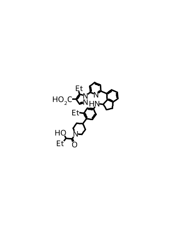 CCc1cc(NC2CCc3cccc(-c4cccc(-n5ncc(C(=O)O)c5CC)n4)c32)ccc1C1CCN(C(=O)C(O)CC)CC1